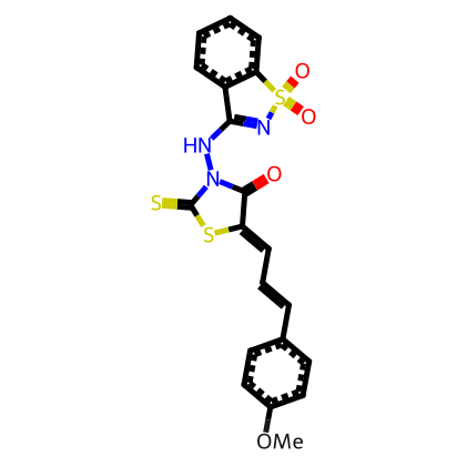 COc1ccc(C=CC=C2SC(=S)N(NC3=NS(=O)(=O)c4ccccc43)C2=O)cc1